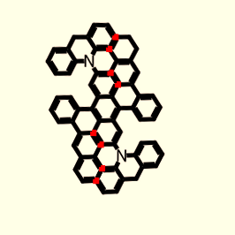 C1=Cc2ccc(-c3ccccc3-c3c4ccc(N5c6ccccc6Cc6ccccc65)cc4c(-c4ccccc4-c4ccc5ccccc5c4)c4ccc(N5c6ccccc6Cc6ccccc65)cc34)cc2CC1